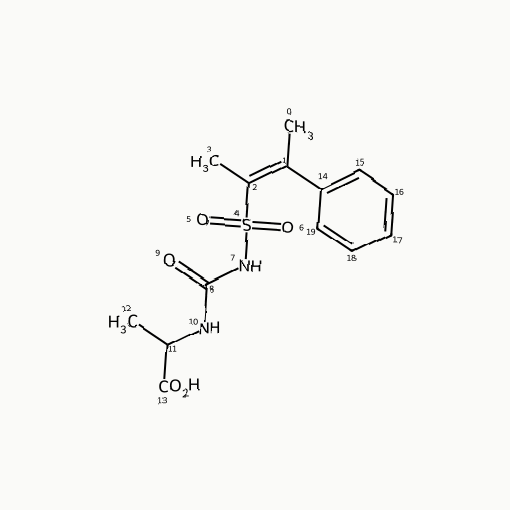 CC(=C(C)S(=O)(=O)NC(=O)NC(C)C(=O)O)c1ccccc1